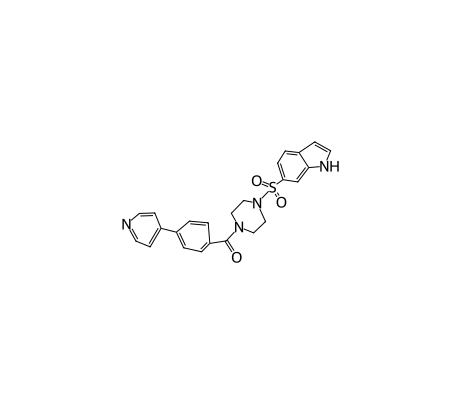 O=C(c1ccc(-c2ccncc2)cc1)N1CCN(S(=O)(=O)c2ccc3cc[nH]c3c2)CC1